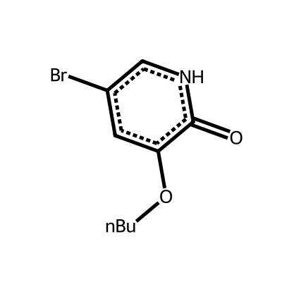 CCCCOc1cc(Br)c[nH]c1=O